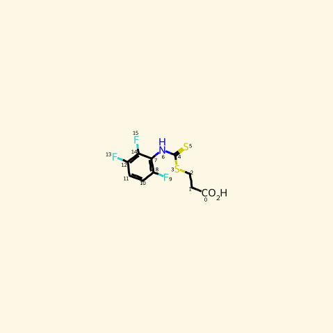 O=C(O)CCSC(=S)Nc1c(F)ccc(F)c1F